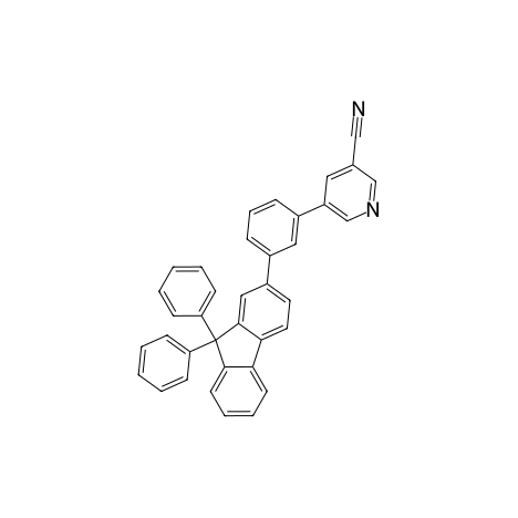 N#Cc1cncc(-c2cccc(-c3ccc4c(c3)C(c3ccccc3)(c3ccccc3)c3ccccc3-4)c2)c1